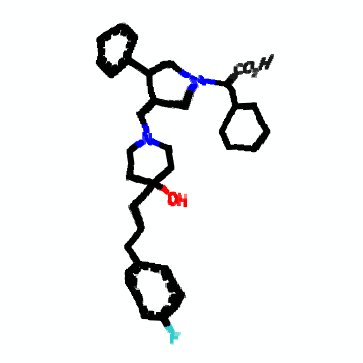 O=C(O)C(C1CCCCC1)N1CC(CN2CCC(O)(CCCc3ccc(F)cc3)CC2)C(c2ccccc2)C1